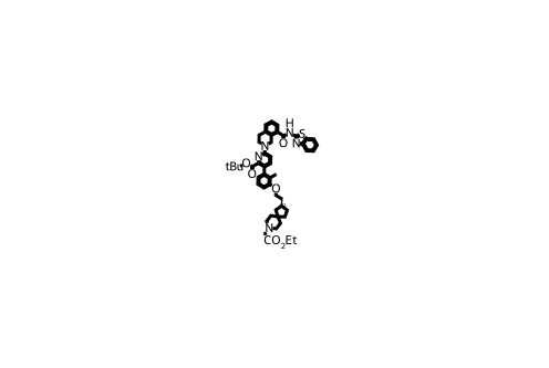 CCOC(=O)CN1CCC2(CC[C@H](CCOc3cccc(-c4ccc(N5CCc6cccc(C(=O)Nc7nc8ccccc8s7)c6C5)nc4C(=O)OC(C)(C)C)c3C)C2)CC1